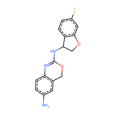 Nc1ccc2c(c1)COC(NC1COc3cc(F)ccc31)=N2